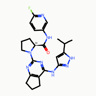 CC(C)c1cc(Nc2nc(N3CCC[C@H]3C(=O)Nc3ccc(F)nc3)nc3c2CCC3)n[nH]1